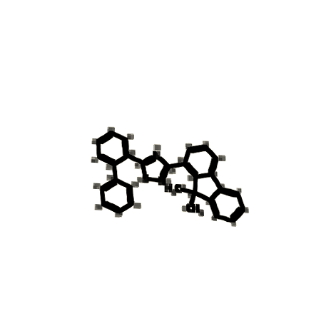 CC1(C)c2ccccc2-c2cccc(-c3nsc(-c4ccccc4-c4ccccc4)n3)c21